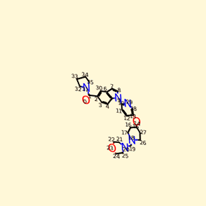 O=C(c1ccc2c(ccn2-c2ccc(OC3CCN(CN4CCOCC4)CC3)cn2)c1)N1CCCC1